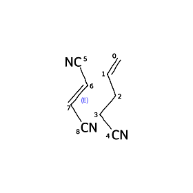 C=CCCC#N.N#C/C=C/C#N